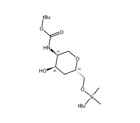 CC(C)(C)OC(=O)N[C@H]1CO[C@H](CO[Si](C)(C)C(C)(C)C)C[C@H]1O